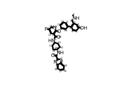 CNCc1cc(O)ccc1-c1cccc(Oc2ncc(F)cc2C(=O)N[C@H]2CC[C@@H](NC(=O)c3nc4ccccc4s3)CC2)c1